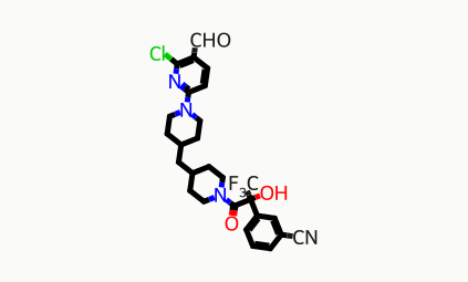 N#Cc1cccc(C(O)(C(=O)N2CCC(CC3CCN(c4ccc(C=O)c(Cl)n4)CC3)CC2)C(F)(F)F)c1